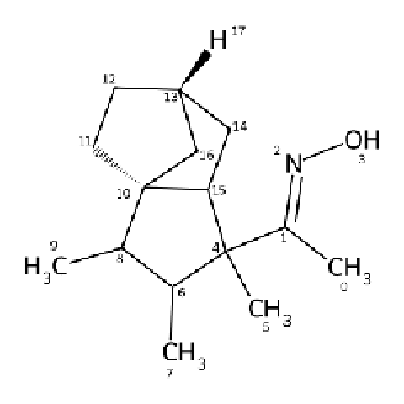 CC(=NO)C1(C)C(C)C(C)[C@]23CC[C@H](CC12)C3